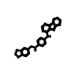 c1cnc2sc3c(Nc4ccc(NCc5ccc6c(c5)OCO6)cc4)ncnc3c2c1